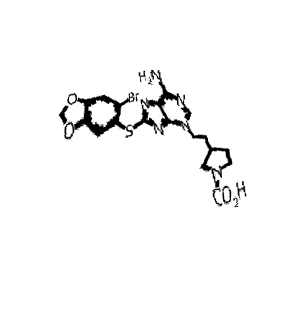 Nc1ncn(CCC2CCN(C(=O)O)C2)c2nc(Sc3cc4c(cc3Br)OCO4)nc1-2